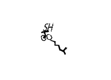 CC(C)CCCCCOC(=O)C(C)(C)S